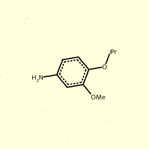 COc1cc(N)ccc1OC(C)C